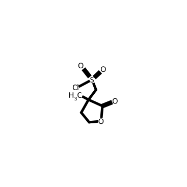 CC1(CS(=O)(=O)Cl)CCOC1=O